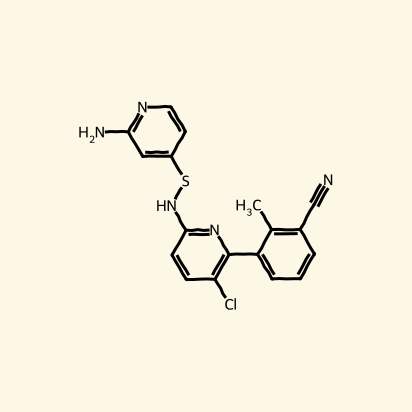 Cc1c(C#N)cccc1-c1nc(NSc2ccnc(N)c2)ccc1Cl